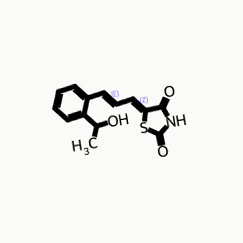 CC(O)c1ccccc1/C=C/C=C1\SC(=O)NC1=O